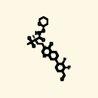 C[C@@](CCn1cnc2cc(-c3ccc(C=O)c(F)c3F)ccc2c1=O)(C(=O)NOC1CCCCO1)S(C)(=O)=O